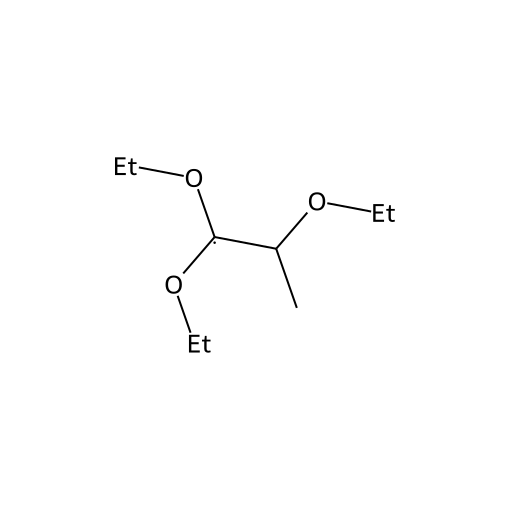 CCO[C](OCC)C(C)OCC